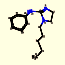 CCCCCN1CCN=C1Nc1ccccc1